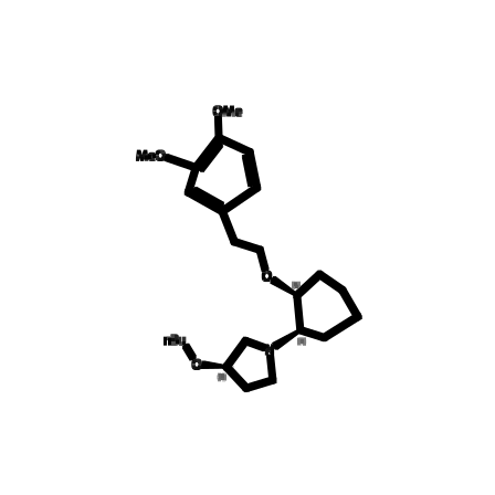 CCCCO[C@@H]1CCN([C@@H]2CCCC[C@@H]2OCCc2ccc(OC)c(OC)c2)C1